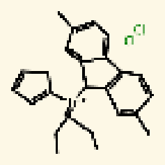 CC[C](CC)=[Ti+2]([C]1=CC=CC1)[CH]1c2cc(C)ccc2-c2ccc(C)cc21.[Cl-].[Cl-]